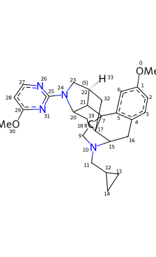 COc1ccc2c(c1)C13CCN(CC4CC4)C(C2)C12CCC1C3[C@@H](CN1c1nccc(OC)n1)C2